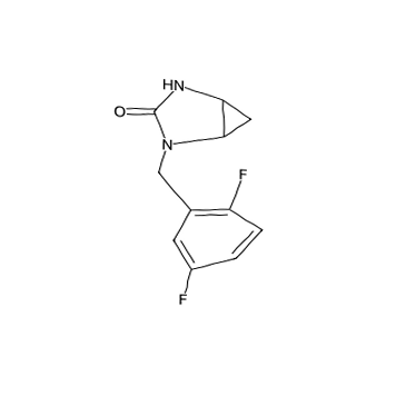 O=C1NC2CC2N1Cc1cc(F)ccc1F